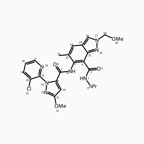 CCCNC(=O)c1c(NC(=O)c2cc(OC)nn2-c2ncccc2Cl)c(C)cc2cn(COC)nc12